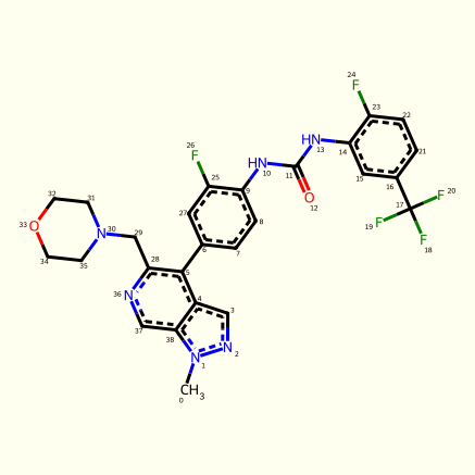 Cn1ncc2c(-c3ccc(NC(=O)Nc4cc(C(F)(F)F)ccc4F)c(F)c3)c(CN3CCOCC3)ncc21